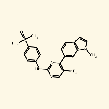 Cn1ccc2ccc(-c3nc(Nc4ccc(P(C)(C)=O)cc4)ncc3C(F)(F)F)cc21